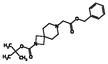 CC(C)(C)OC(=O)N1CC2(CCN(CC(=O)OCc3ccccc3)CC2)C1